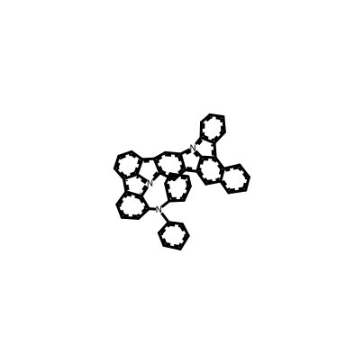 c1ccc(N(c2ccccc2)c2cccc3c4cccc5c6cc7c(cc6n(c23)c54)c2cc3ccccc3c3c4ccccc4n7c23)cc1